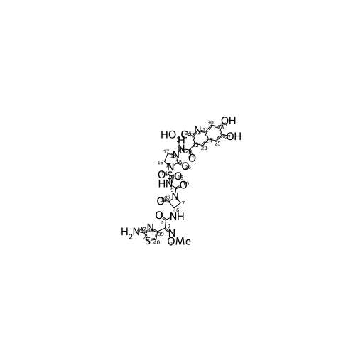 CON=C(C(=O)N[C@H]1CN(C(=O)NS(=O)(=O)N2CCN(NC(=O)c3cc4cc(O)c(O)cc4nc3C(=O)O)C2=O)C1=O)c1csc(N)n1